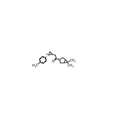 Cc1ccc([C@@H]2CC2CC(=O)N2CC3C(C2)C3(C)C)cc1